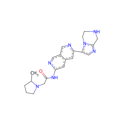 CC1CCCN1CC(=O)Nc1cc2cc(-c3cnc4n3CCNC4)ncc2cn1